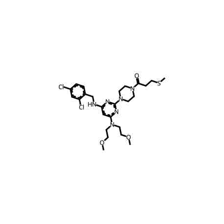 COCCN(CCOC)c1cc(NCc2ccc(Cl)cc2Cl)nc(N2CCN(C(=O)CCSC)CC2)n1